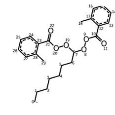 [CH2]CCCCCC[C](OOC(=O)c1ccccc1C)OOC(=O)c1ccccc1C